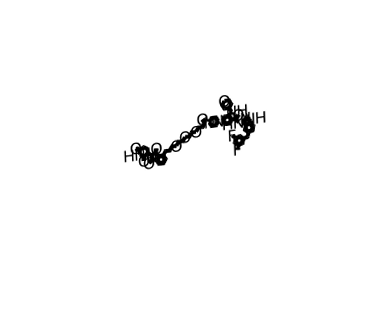 O=C1CCC(N2C(=O)c3cccc(CCCOCCOCCOCCC(=O)N4CCN(c5ccc(C(=O)Nc6n[nH]c7ccc(Cc8cc(F)cc(F)c8)cc67)c(NC6CCOCC6)c5)CC4)c3C2=O)C(=O)N1